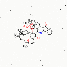 COC(=O)/C(C)=C\CC12OC(C)(C)C3CC(C1=O)C1C4=C(N=C5c6ccccc6C(=O)C51)c1c(O)c5c(c(CC=C(C)C)c1OC432)OC(C)(CCC=C(C)C)C=C5